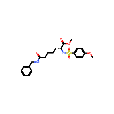 COC(=O)[C@@H](CCCCC(=O)NCc1ccccc1)NS(=O)(=O)c1ccc(OC)cc1